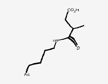 CC(=O)CCCCNC(=O)C(C)CC(=O)O